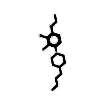 CCCC[C@H]1CC[C@H](c2ccc(OCC)c(F)c2F)CC1